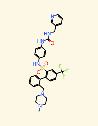 CN1CCN(Cc2ccccc2-c2ccc(C(F)(F)F)cc2S(=O)(=O)Nc2ccc(NC(=O)NCc3cccnc3)cc2)CC1